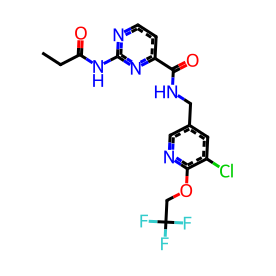 CCC(=O)Nc1nccc(C(=O)NCc2cnc(OCC(F)(F)F)c(Cl)c2)n1